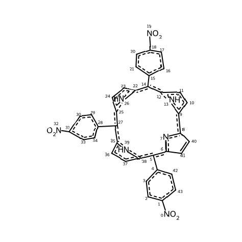 O=[N+]([O-])c1ccc(-c2c3nc(c4ccc([nH]4)c(-c4ccc([N+](=O)[O-])cc4)c4ccc([nH]4)c(-c4ccc([N+](=O)[O-])cc4)c4ccc2[nH]4)C=C3)cc1